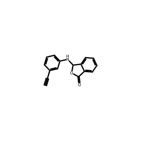 C#Cc1cccc(NC2OC(=O)c3ccccc32)c1